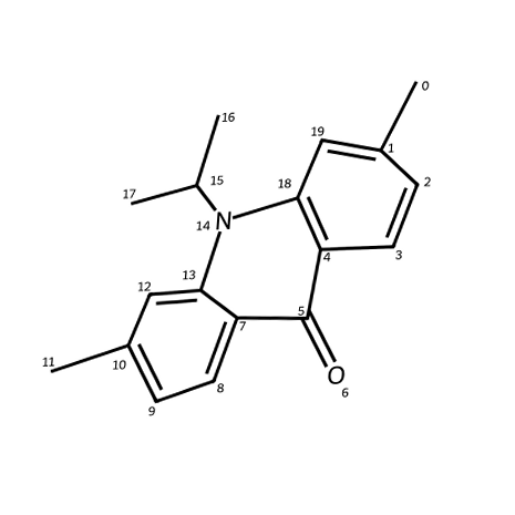 Cc1ccc2c(=O)c3ccc(C)cc3n(C(C)C)c2c1